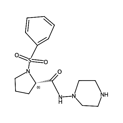 O=C(NN1CCNCC1)[C@@H]1CCCN1S(=O)(=O)c1ccccc1